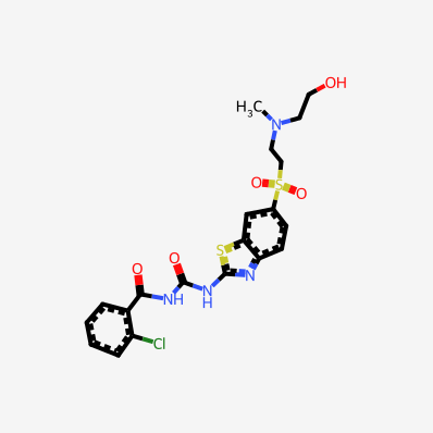 CN(CCO)CCS(=O)(=O)c1ccc2nc(NC(=O)NC(=O)c3ccccc3Cl)sc2c1